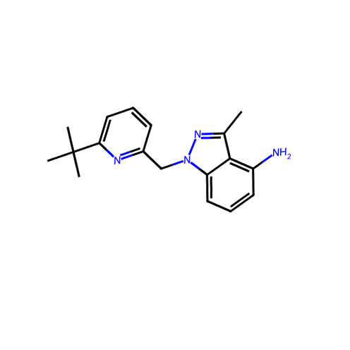 Cc1nn(Cc2cccc(C(C)(C)C)n2)c2cccc(N)c12